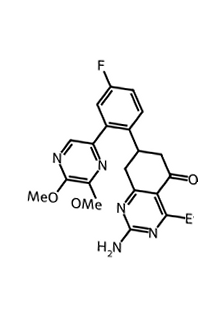 CCc1nc(N)nc2c1C(=O)CC(c1ccc(F)cc1-c1cnc(OC)c(OC)n1)C2